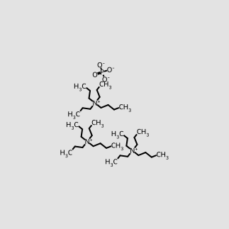 CCCC[N+](CCC)(CCC)CCC.CCCC[N+](CCC)(CCC)CCC.CCCC[N+](CCC)(CCC)CCC.O=P([O-])([O-])[O-]